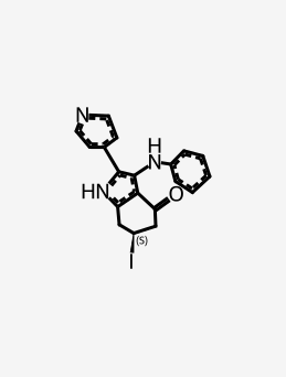 O=C1C[C@@H](I)Cc2[nH]c(-c3ccncc3)c(Nc3ccccc3)c21